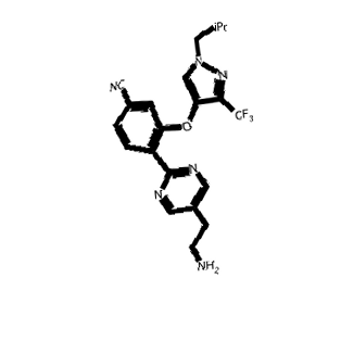 CC(C)Cn1cc(Oc2cc(C#N)ccc2-c2ncc(CCN)cn2)c(C(F)(F)F)n1